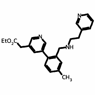 CCOC(=O)Cc1cncc(-c2ccc(C)cc2CNCCc2cccnc2)c1